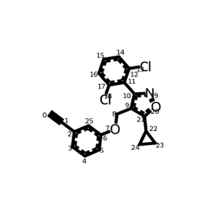 C#Cc1cccc(OCc2c(-c3c(Cl)cccc3Cl)noc2C2CC2)c1